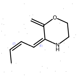 C=C1OCCN/C1=C/C=C\C